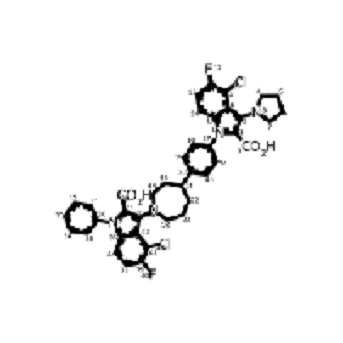 O=C(O)c1c(N2CCCC2)c2c(Cl)c(F)ccc2n1-c1ccc(C2CCCN(c3c(C(=O)O)n(-c4ccccc4)c4ccc(F)c(Cl)c34)CC2)cc1